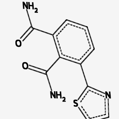 NC(=O)c1cccc(-c2nccs2)c1C(N)=O